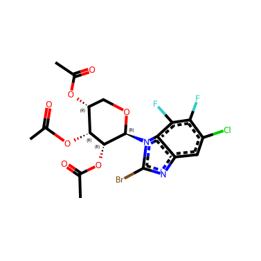 CC(=O)O[C@@H]1[C@H](OC(C)=O)[C@H](OC(C)=O)CO[C@H]1n1c(Br)nc2cc(Cl)c(F)c(F)c21